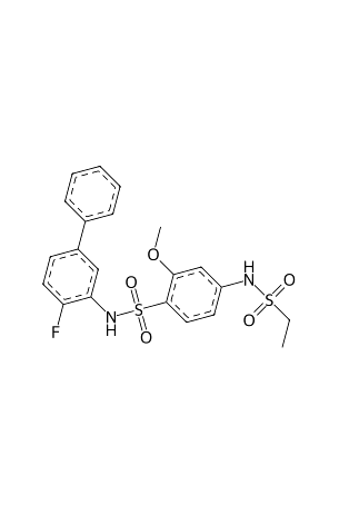 CCS(=O)(=O)Nc1ccc(S(=O)(=O)Nc2cc(-c3ccccc3)ccc2F)c(OC)c1